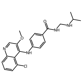 COc1cnc2cccc(Cl)c2c1Nc1ccc(C(=O)NCNC(C)C)cc1